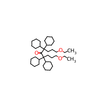 CCOCCCC(C(=O)C(CCCOCC)(C1CCCCC1)C1CCCCC1)(C1CCCCC1)C1CCCCC1